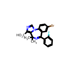 CC1(C)N=C(c2ccccc2F)c2cc(Br)ccc2-n2cnc(C(=O)O)c21